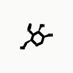 O=N[C@H]1[C@H](O)[C@@H](O)CO[C@@H]1CO